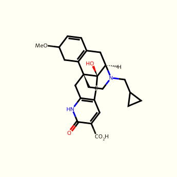 COC1C=CC2=C(C1)[C@]13CCN(CC4CC4)[C@H](C2)[C@]1(O)Cc1cc(C(=O)O)c(=O)[nH]c1C3